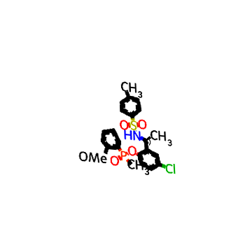 COc1ccccc1P(C)(=O)Oc1ccc(Cl)cc1[C@H](C)NS(=O)(=O)c1ccc(C)cc1